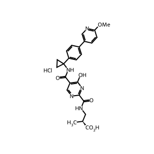 COc1ccc(-c2ccc(C3(NC(=O)c4cnc(C(=O)NC[C@H](C)C(=O)O)nc4O)CC3)cc2)cn1.Cl